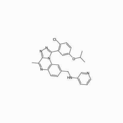 Cc1nc2ccc(CNc3cccnc3)cc2n2c(-c3cc(OC(C)C)ccc3Cl)nnc12